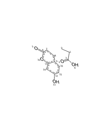 CCC(=O)O.O=c1ccc2ccc(O)cc2o1